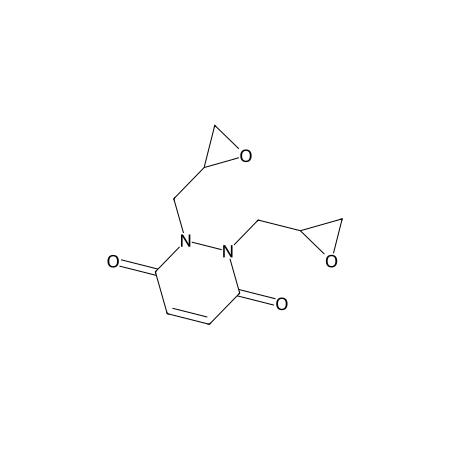 O=c1ccc(=O)n(CC2CO2)n1CC1CO1